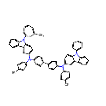 CC1=CC=CC=C(n2c3ccccc3c3cc(N(c4ccc(C#N)cc4)c4ccc(-c5ccc(N(c6ccc(C#N)cc6)c6ccc7c(c6)c6ccccc6n7-c6ccccc6)cc5)cc4)ccc32)C1